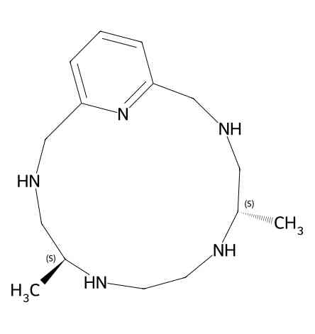 C[C@H]1CNCc2cccc(n2)CNC[C@H](C)NCCN1